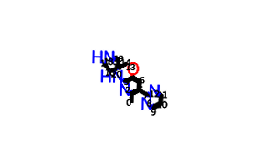 Cc1nc2c(cc1-c1ncccn1)OCC1(CCNC1)N2